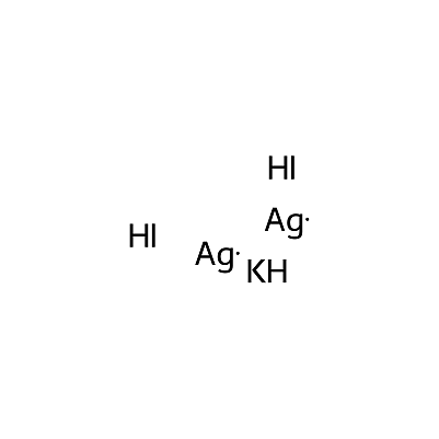 I.I.[Ag].[Ag].[KH]